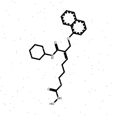 O=C(CCCCC=C(COc1cccc2ccccc12)C(=O)NC1CCCCC1)NO